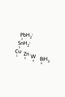 [BiH3].[Cu].[PbH2].[SnH2].[W].[Zn]